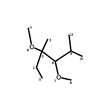 CCC(C)(OC)[C](OC)C(C)C